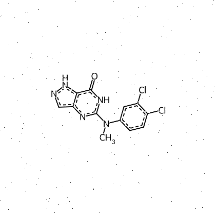 CN(c1ccc(Cl)c(Cl)c1)c1nc2cn[nH]c2c(=O)[nH]1